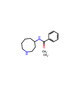 O=C(NC1CCCCNCC1)c1ccccc1.[CH2].[CH2]